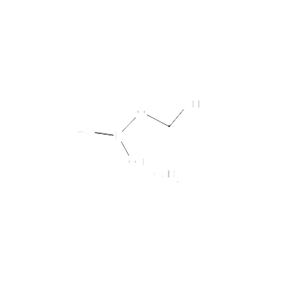 CCOP(O)O.[CaH2]